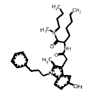 CCCCCC(NC(=O)Cc1c(C)n(CCCc2ccccc2)c2ccc(O)cc12)C(=O)N(C)CCCC